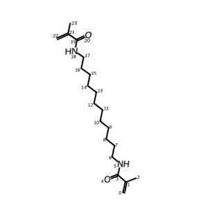 C=C(C)C(=O)NCCCCCCCCCCCCNC(=O)C(=C)C